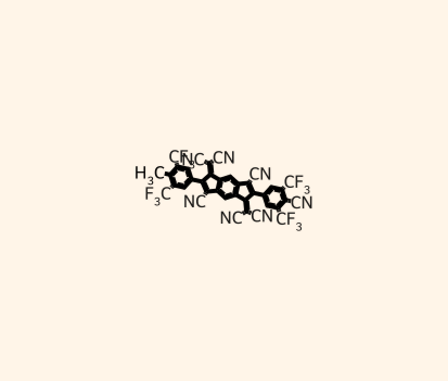 Cc1c(C(F)(F)F)cc(C2=C(C#N)c3cc4c(cc3C2=C(C#N)C#N)C(C#N)=C(c2cc(C(F)(F)F)c(C#N)c(C(F)(F)F)c2)C4=C(C#N)C#N)cc1C(F)(F)F